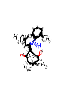 [CH2]c1ccccc1NC(CC(C)C)=C1C(=O)CC(C)(C)CC1=O